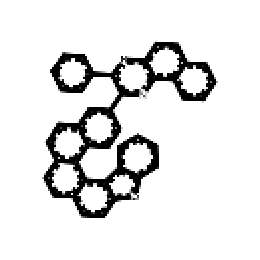 c1ccc(-c2nc3ccc4ccccc4c3nc2-c2ccc3c(ccc4ccc5ccc6oc7ccccc7c6c5c43)c2)cc1